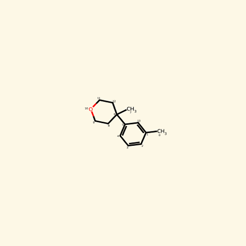 Cc1cccc(C2(C)CCOCC2)c1